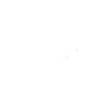 CCOCC(CCC(C)(c1ccccc1)c1ccccc1)(COC)C1CCCCC1